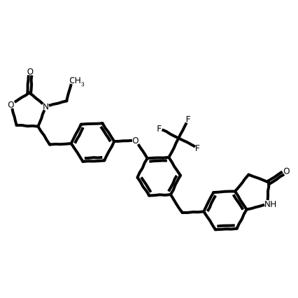 CCN1C(=O)OCC1Cc1ccc(Oc2ccc(Cc3ccc4c(c3)CC(=O)N4)cc2C(F)(F)F)cc1